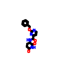 O=C1CCC(NC(=O)c2ccnc(OCc3ccccc3)n2)C(=O)N1